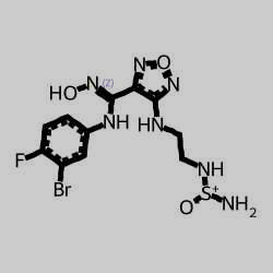 N[S+]([O-])NCCNc1nonc1/C(=N/O)Nc1ccc(F)c(Br)c1